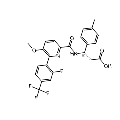 COc1ccc(C(=O)N[C@@H](CC(=O)O)c2ccc(C)cc2)nc1-c1ccc(C(F)(F)F)cc1F